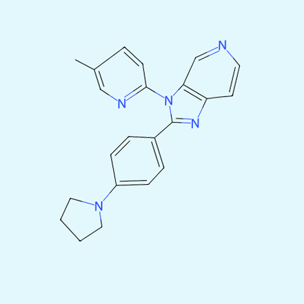 Cc1ccc(-n2c(-c3ccc(N4CCCC4)cc3)nc3ccncc32)nc1